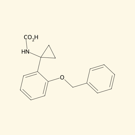 O=C(O)NC1(c2ccccc2OCc2ccccc2)CC1